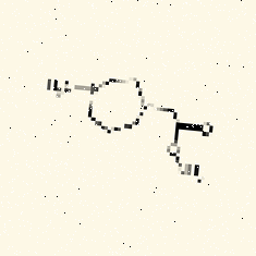 CN1CCCN(CC(=O)ON)CC1